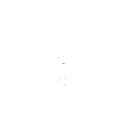 CC[C@H]1CC[C@H](c2ccc(C(F)(F)Oc3cc(F)c(OC(F)F)c(F)c3)c(F)c2)CC1